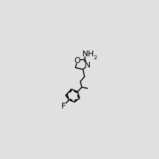 CC(CCC1COC(N)=N1)c1ccc(F)cc1